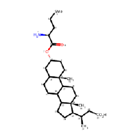 CSCC[C@H](N)C(=O)O[C@@H]1CC[C@@]2(C)C(CCC3C2CC[C@@]2(C)C3CCC2[C@H](C)CC(=O)O)C1